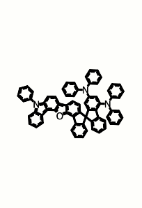 c1ccc(N(c2ccccc2)c2cc(N(c3ccccc3)c3ccccc3)c3c(c2)C2(c4ccccc4-3)c3ccccc3-c3c2ccc2c3oc3c2ccc2c3c3ccccc3n2-c2ccccc2)cc1